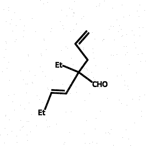 C=CCC(C=O)(/C=C/CC)CC